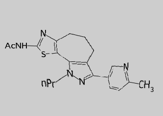 CCCn1nc(-c2ccc(C)nc2)c2c1-c1sc(NC(C)=O)nc1CCC2